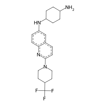 NC1CCC(Nc2ccc3nc(N4CCC(C(F)(F)F)CC4)ccc3c2)CC1